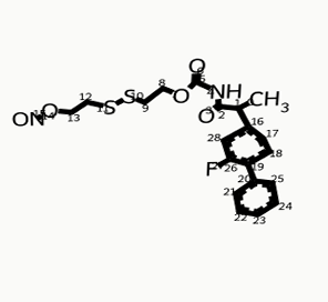 CC(C(=O)NC(=O)OCCSSCCON=O)c1ccc(-c2ccccc2)c(F)c1